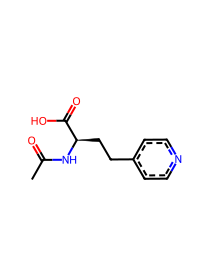 CC(=O)N[C@H](CCc1ccncc1)C(=O)O